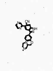 CN1CCN2c3ccc(-c4n[nH]c5cc(C#N)c(-c6cnccn6)cc45)cc3OCC2C1